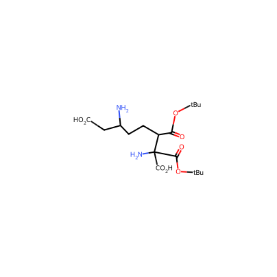 CC(C)(C)OC(=O)C(CCC(N)CC(=O)O)C(N)(C(=O)O)C(=O)OC(C)(C)C